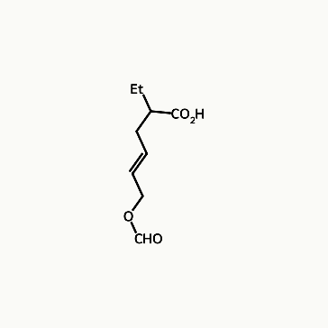 CCC(C/C=C/COC=O)C(=O)O